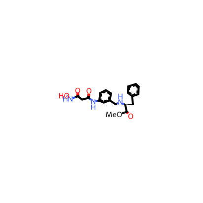 COC(=O)[C@H](Cc1ccccc1)NCc1cccc(NC(=O)CC(=O)NO)c1